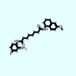 COc1ccc2c(c1)CCCC2NC(=O)CCCCCCC(=O)Nc1ccc(F)cc1N